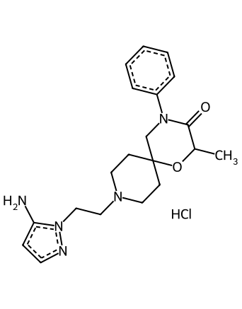 CC1OC2(CCN(CCn3nccc3N)CC2)CN(c2ccccc2)C1=O.Cl